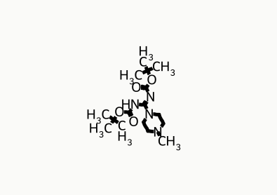 CN1CCN(/C(=N/C(=O)OC(C)(C)C)NC(=O)OC(C)(C)C)CC1